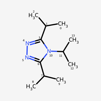 CC(C)c1nnc(C(C)C)n1C(C)C